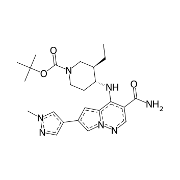 CC[C@@H]1CN(C(=O)OC(C)(C)C)CC[C@H]1Nc1c(C(N)=O)cnn2cc(-c3cnn(C)c3)cc12